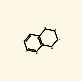 [c]1[c]c2c(cc1)C[CH]CC2